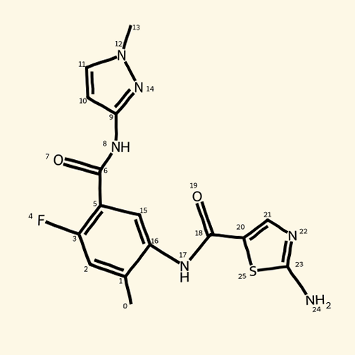 Cc1cc(F)c(C(=O)Nc2ccn(C)n2)cc1NC(=O)c1cnc(N)s1